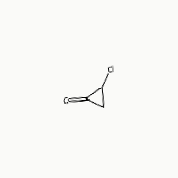 O=C1CC1Cl